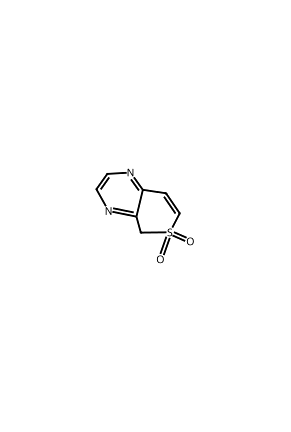 O=S1(=O)C=Cc2nccnc2C1